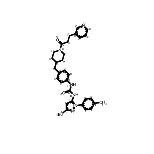 Cc1ccc(-n2nc(C(C)(C)C)cc2NC(=O)Nc2ccc(CC3CCN(C(=O)CCc4cccnc4)CC3)cc2)cc1